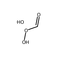 O=COO.[OH]